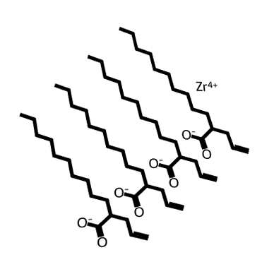 C=CCC(CCCCCCCCCC)C(=O)[O-].C=CCC(CCCCCCCCCC)C(=O)[O-].C=CCC(CCCCCCCCCC)C(=O)[O-].C=CCC(CCCCCCCCCC)C(=O)[O-].[Zr+4]